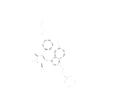 O=C1NC(=O)C(c2cn(CCN3CCOCC3)c3ccc(F)cc23)=C1c1cccc(OCCF)c1